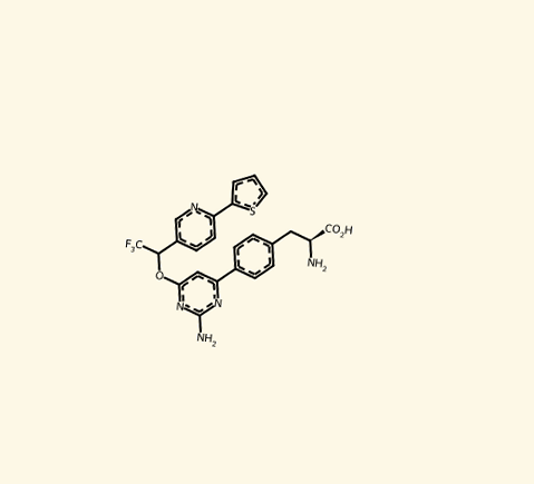 Nc1nc(OC(c2ccc(-c3cccs3)nc2)C(F)(F)F)cc(-c2ccc(C[C@H](N)C(=O)O)cc2)n1